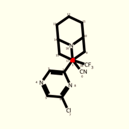 N#CC1(c2cncc(Cl)n2)CC2CCCC(C1)N2CC(F)(F)F